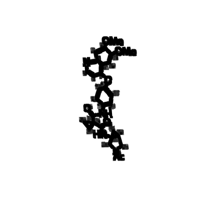 COc1cc2nccc(Oc3ccc(NC(=O)C4(C(=O)NC56CC5CN(C(C)=O)C6)CC4)cc3)c2cc1OC